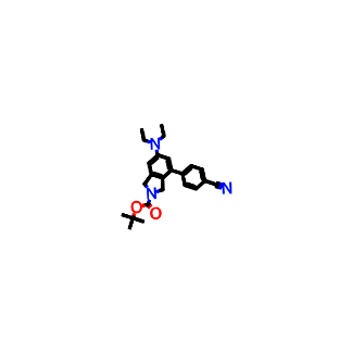 CCN(CC)c1cc2c(c(-c3ccc(C#N)cc3)c1)CN(C(=O)OC(C)(C)C)C2